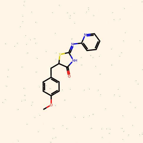 COc1ccc(CC2SC(=Nc3ccccn3)NC2=O)cc1